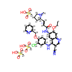 CCOc1cc2ncc(C#N)c(Nc3ccc(OCc4ccccn4)c(Cl)c3)c2cc1NC(=O)/C=C/[C@H]1CCCN1C.CS(=O)(=O)O.CS(=O)(=O)O.CS(=O)(=O)O